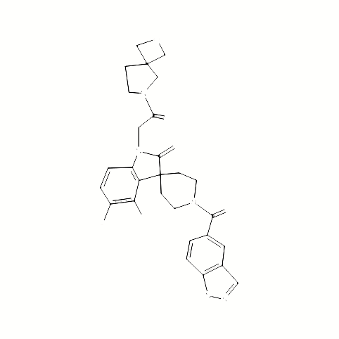 O=C(CN1C(=O)C2(CCN(C(=O)c3ccc4[nH]ncc4c3)CC2)c2c1ccc(F)c2Cl)N1CCC2(COC2)C1